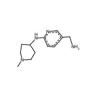 CN1CCC(Nc2ccc(CN)cn2)CC1